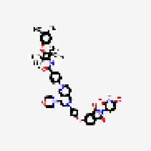 CC1(C)C(NC(=O)c2ccc(N3CCC(CN(CCN4CCOCC4)C4CC(Oc5ccc6c(c5)C(=O)N([C@@H]5CCC(=O)NC5=O)C6=O)C4)CC3)cc2)C(C)(C)C1Oc1ccc(C#N)c(C#N)c1